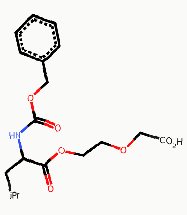 CC(C)CC(NC(=O)OCc1ccccc1)C(=O)OCCOCC(=O)O